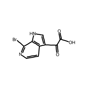 O=C(O)C(=O)c1c[nH]c2c(Br)nccc12